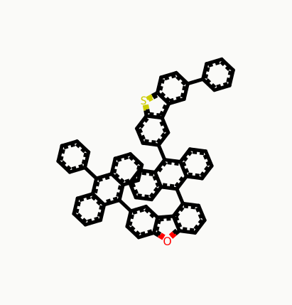 c1ccc(-c2ccc3sc4ccc(-c5c6ccccc6c(-c6cccc7oc8ccc(-c9c%10ccccc%10c(-c%10ccccc%10)c%10ccccc9%10)cc8c67)c6ccccc56)cc4c3c2)cc1